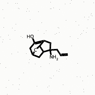 C=CCC1(N)CC2=C(O)CC3CC2C1C3